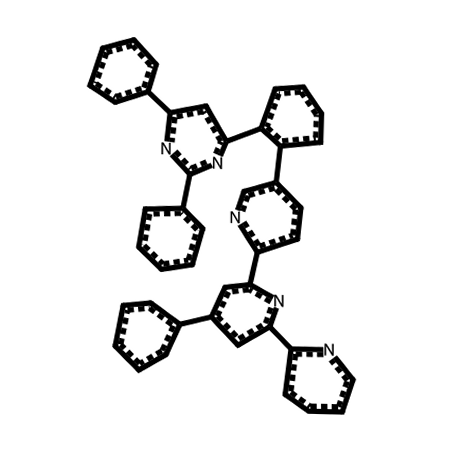 c1ccc(-c2cc(-c3ccccn3)nc(-c3ccc(-c4ccccc4-c4cc(-c5ccccc5)nc(-c5ccccc5)n4)cn3)c2)cc1